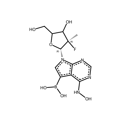 C[C@@]1(F)C(O)C(CO)O[C@H]1n1cc(B(O)O)c2c(NO)ncnc21